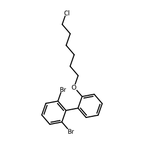 ClCCCCCCOc1ccccc1-c1c(Br)cccc1Br